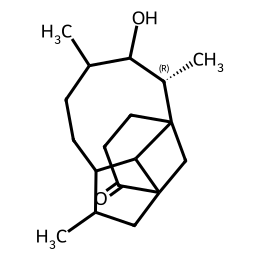 CC1CC23CC4(CCC2=O)C3C1CCC(C)C(O)[C@@H]4C